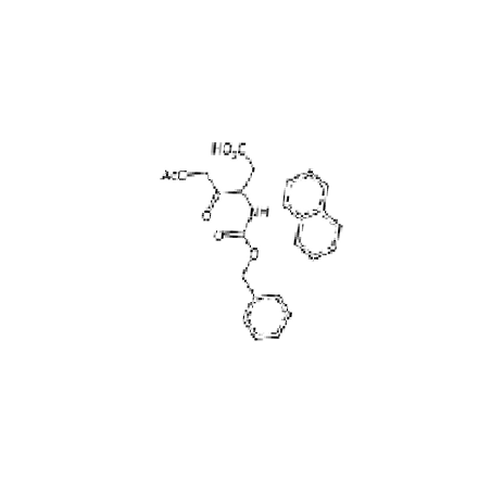 CC(=O)OCC(=O)C(CC(=O)O)NC(=O)OCc1ccccc1.c1ccc2ccccc2c1